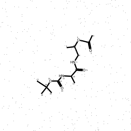 CC(=O)OC(C)CNC(=O)C(C)NC(=O)OC(C)(C)C